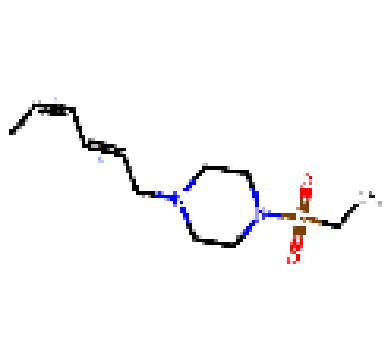 C/C=C\C=C\CN1CCN(S(=O)(=O)CC(F)(F)F)CC1